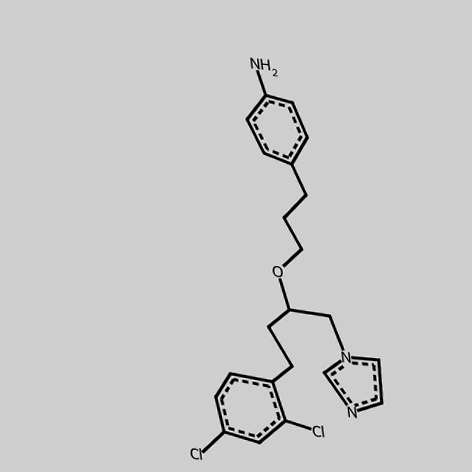 Nc1ccc(CCCOC(CCc2ccc(Cl)cc2Cl)Cn2ccnc2)cc1